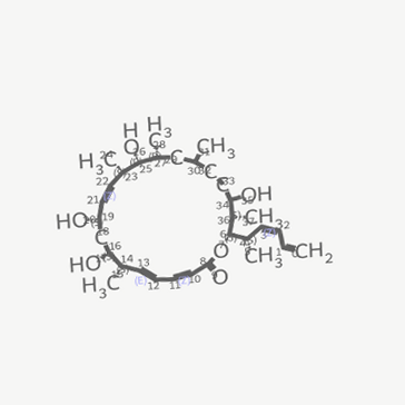 C=C/C=C\[C@H](C)[C@@H]1OC(=O)/C=C\C=C\[C@H](C)[C@@H](O)C[C@H](O)/C=C\[C@H](C)[C@H](O)[C@H](C)CC(C)CCC(O)[C@@H]1C